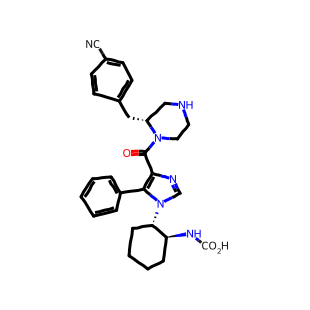 N#Cc1ccc(C[C@@H]2CNCCN2C(=O)c2ncn([C@H]3CCCC[C@@H]3NC(=O)O)c2-c2ccccc2)cc1